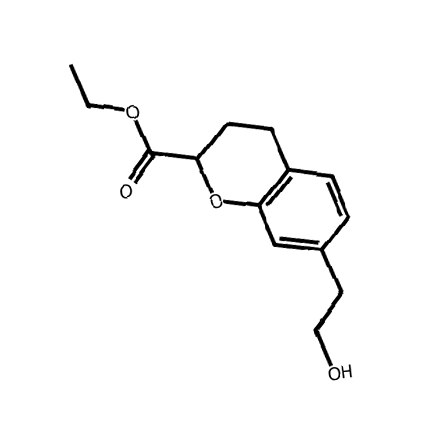 CCOC(=O)C1CCc2ccc(CCO)cc2O1